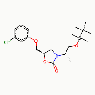 C[C@@H](CO[Si](C)(C)C(C)(C)C)N1C[C@H](COc2cccc(Cl)c2)OC1=O